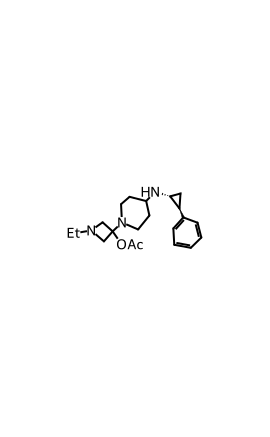 CCN1CC(OC(C)=O)(N2CCC(N[C@@H]3C[C@H]3c3ccccc3)CC2)C1